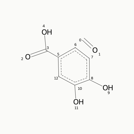 C=O.O=C(O)c1ccc(O)c(O)c1